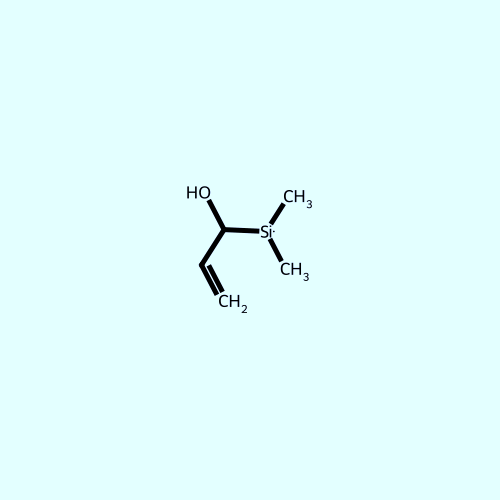 C=CC(O)[Si](C)C